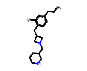 BCCc1ccc(CC2CN(CC3CCCNC3)C2)c(C)c1